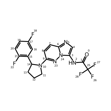 O=C(Nc1cnc2ccc(N3CCCC3c3cc(F)ccc3F)nn12)C(F)(F)F